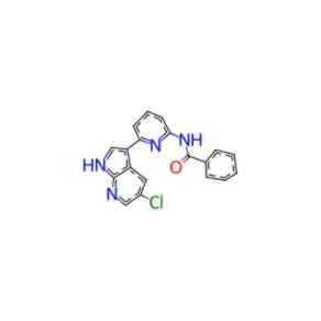 O=C(Nc1cccc(-c2c[nH]c3ncc(Cl)cc23)n1)c1ccccc1